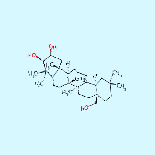 CC1(C)CC[C@]2(CO)CC[C@]3(C)C(=CC[C@@H]4[C@@]5(C)C[C@H](O)[C@H](O)C(C)(C)C5CC[C@]43C)[C@H]2C1